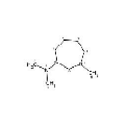 CN1CCCCC(N(C)C)C1